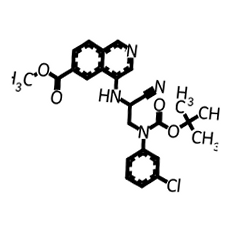 COC(=O)c1ccc2cncc(NC(C#N)CN(C(=O)OC(C)(C)C)c3cccc(Cl)c3)c2c1